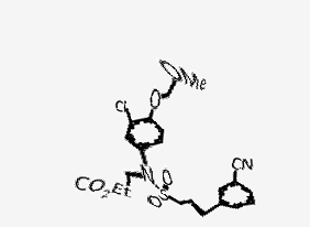 CCOC(=O)CN(c1ccc(OCOC)c(Cl)c1)S(=O)(=O)C/C=C/c1cccc(C#N)c1